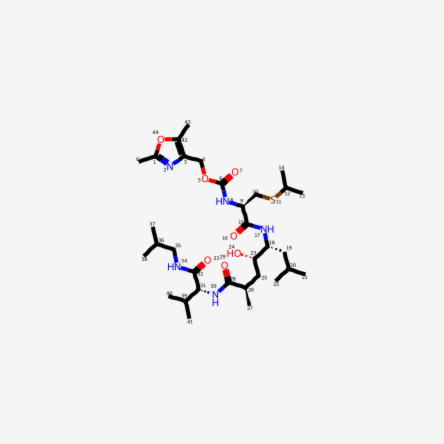 Cc1nc(COC(=O)N[C@@H](CSC(C)C)C(=O)N[C@H](CC(C)C)[C@@H](O)C[C@@H](C)C(=O)N[C@@H](C(=O)NCC(C)C)C(C)C)c(C)o1